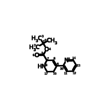 CC(C)(C)OC(=O)C1C=C(c2cc[c]cn2)CCN1